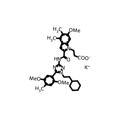 COc1cc(-c2nc(NC(=O)c3cc4c(C)c(C)c(OC)cc4n3CCC(=O)[O-])nn2CCC2CCCCC2)c(OC)cc1C.[K+]